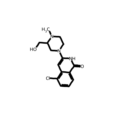 CN1CCN(c2cc3c(Cl)cccc3c(=O)[nH]2)CC1CO